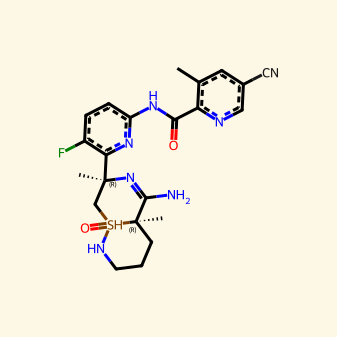 Cc1cc(C#N)cnc1C(=O)Nc1ccc(F)c([C@]2(C)C[SH]3(=O)NCCC[C@]3(C)C(N)=N2)n1